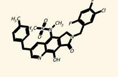 Cc1ccc(Cc2cnc3c(O)c4c(c(N(C)S(C)(=O)=O)c3c2)CN(Cc2cc(Cl)c(F)cc2F)C4=O)cc1